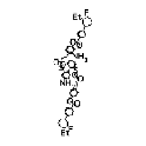 CCC1CC(c2ccc(C(=O)Oc3ccc(/C=C/C(=O)OSc4cc(N)ccc4-c4ccc(N)cc4SOC(=O)/C=C/c4ccc(OC(=O)c5ccc(C6CCC[C@@H](CC)C(F)C6)cc5)cc4)cc3)cc2)CCCC1F